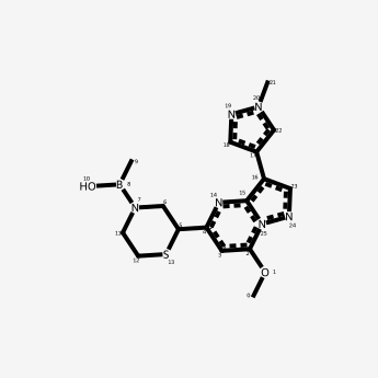 COc1cc(C2CN(B(C)O)CCS2)nc2c(-c3cnn(C)c3)cnn12